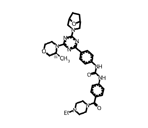 CCN1CCN(C(=O)c2ccc(NC(=O)Nc3ccc(-c4nc(N5CC6CCC(C5)O6)nc(N5CCOC[C@@H]5C)n4)cc3)cc2)CC1